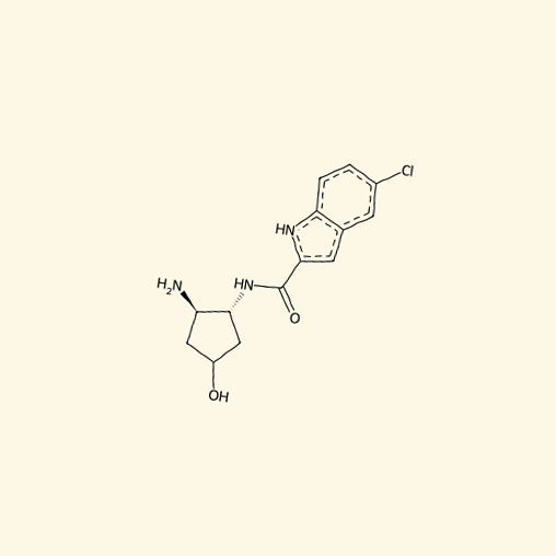 N[C@@H]1CC(O)C[C@H]1NC(=O)c1cc2cc(Cl)ccc2[nH]1